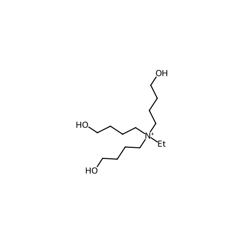 CC[N+](CCCCO)(CCCCO)CCCCO